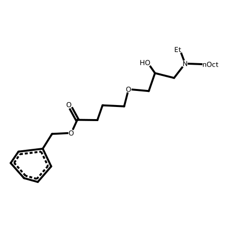 CCCCCCCCN(CC)CC(O)COCCCC(=O)OCc1ccccc1